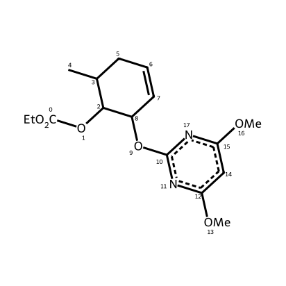 CCOC(=O)OC1C(C)CC=CC1Oc1nc(OC)cc(OC)n1